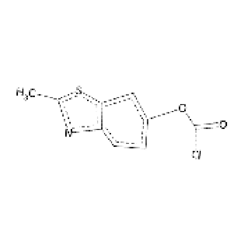 Cc1nc2ccc(OC(=O)Cl)cc2s1